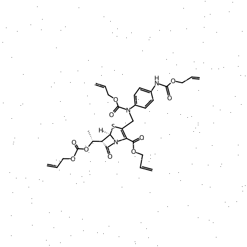 C=CCOC(=O)Nc1ccc(N(CC2=C(C(=O)OCC=C)N3C(=O)[C@H]([C@@H](C)OC(=O)OCC=C)[C@H]3S2)C(=O)OCC=C)cc1